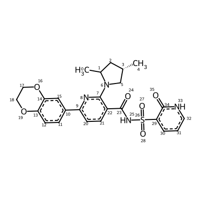 CC1C[C@H](C)CN1c1nc(-c2ccc3c(c2)OCCO3)ccc1C(=O)NS(=O)(=O)c1ccc[nH]c1=O